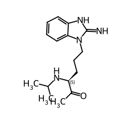 CC(=O)[C@H](CCCn1c(=N)[nH]c2ccccc21)NC(C)C